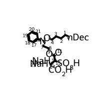 CCCCCCCCCCCCCCON(CCOC(=O)C(CC(=O)O)S(=O)(=O)O)c1ccccc1.[NaH].[NaH]